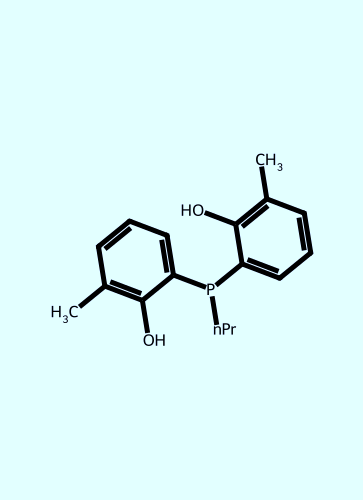 CCCP(c1cccc(C)c1O)c1cccc(C)c1O